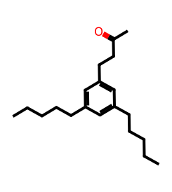 CCCCCc1cc(CCCCC)cc(CCC(C)=O)c1